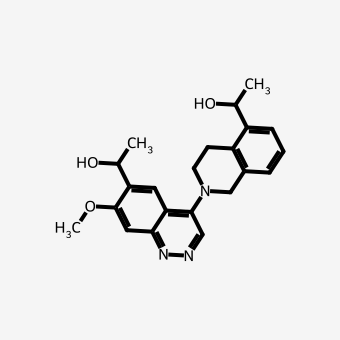 COc1cc2nncc(N3CCc4c(cccc4C(C)O)C3)c2cc1C(C)O